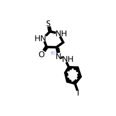 O=C1NC(=S)NC/C1=N\Nc1ccc(I)cc1